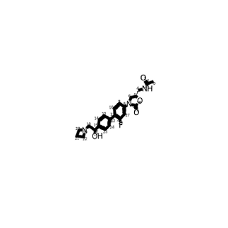 CC(=O)NC[C@H]1CN(c2ccc(-c3ccc(C(O)CN4CCC4)cc3)c(F)c2)C(=O)O1